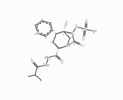 CC(C)C(=O)NNC(=O)[C@@H]1CC[C@@H]2CN1C(=O)N2OS(=O)(=O)O.c1ccncc1